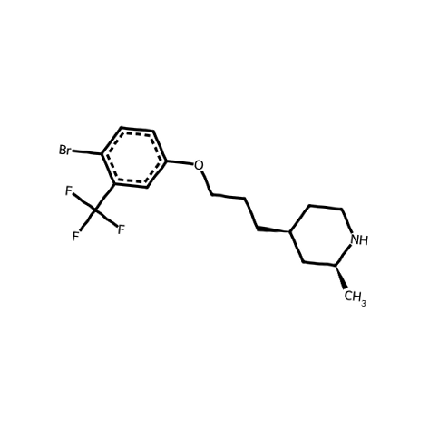 C[C@H]1C[C@@H](CCCOc2ccc(Br)c(C(F)(F)F)c2)CCN1